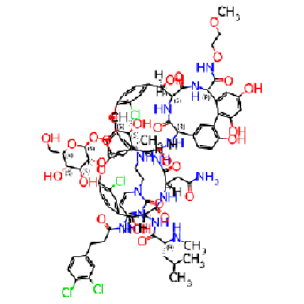 CN[C@H](CC(C)C)C(=O)N[C@H]1C(=O)N[C@@H](CC(N)=O)C(=O)N[C@H]2C(=O)N[C@H]3C(=O)N[C@H](C(=O)N[C@@H](C(=O)NOCCOC)c4cc(O)cc(O)c4-c4cc3ccc4O)[C@H](O)c3ccc(c(Cl)c3)Oc3cc2cc(c3O[C@@H]2O[C@H](CO)[C@@H](O)[C@H](O)[C@H]2O[C@H]2C[C@](C)(NCCn3ccc(NC(=O)CCc4ccc(Cl)c(Cl)c4)nc3=O)[C@H](O)[C@H](C)O2)Oc2ccc(cc2Cl)[C@H]1O